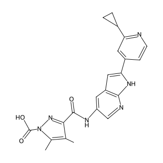 Cc1c(C(=O)Nc2cnc3[nH]c(-c4ccnc(C5CC5)c4)cc3c2)nn(C(=O)O)c1C